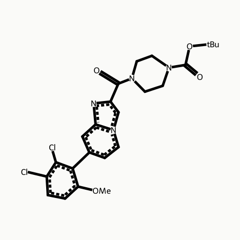 COc1ccc(Cl)c(Cl)c1-c1ccn2cc(C(=O)N3CCN(C(=O)OC(C)(C)C)CC3)nc2c1